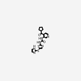 O=C(Nc1ncc(Sc2ncc[nH]2)s1)Nc1cnccc1C(=O)C1CCCC1